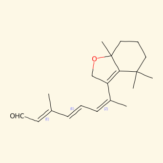 C/C(=C/C=C/C(C)=C/C=O)C1=C2C(C)(C)CCCC2(C)OC1